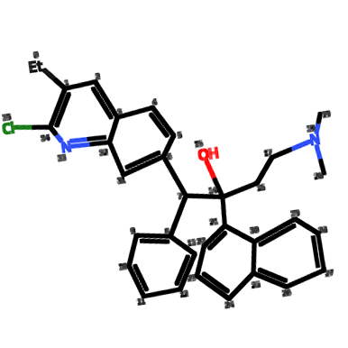 CCc1cc2ccc(C(c3ccccc3)C(O)(CCN(C)C)c3cccc4ccccc34)cc2nc1Cl